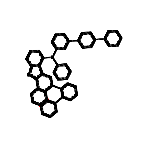 c1ccc(-c2ccc(-c3cccc(N(c4ccccc4)c4cccc5oc6c7ccccc7c(-c7ccccc7-c7ccccc7)cc6c45)c3)cc2)cc1